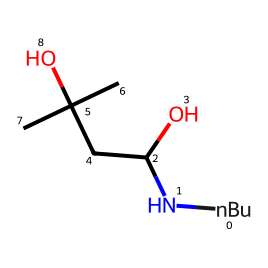 CCCCNC(O)CC(C)(C)O